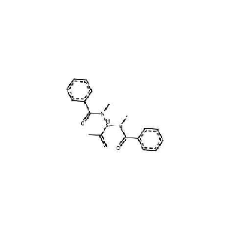 C=C(C)[SiH](N(C)C(=O)c1ccccc1)N(C)C(=O)c1ccccc1